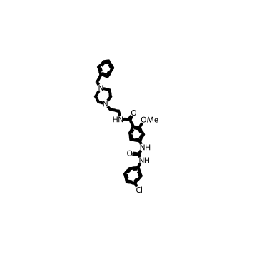 COc1cc(NC(=O)Nc2cccc(Cl)c2)ccc1C(=O)NCCN1CCN(Cc2ccccc2)CC1